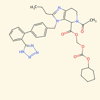 CCCc1nc2c(n1Cc1ccc(-c3ccccc3-c3nnn[nH]3)cc1)C(C(=O)OCOC(=O)OC1CCCCC1)N(C(C)=O)CC2